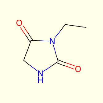 CCN1C(=O)CNC1=O